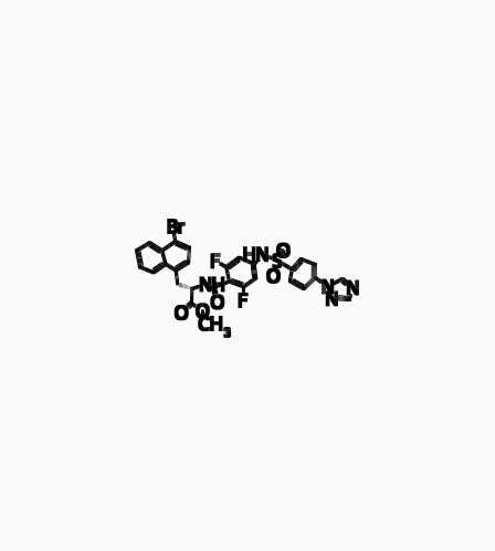 COC(=O)[C@H](Cc1ccc(Br)c2ccccc12)NC(=O)c1c(F)cc(NS(=O)(=O)c2ccc(-n3cncn3)cc2)cc1F